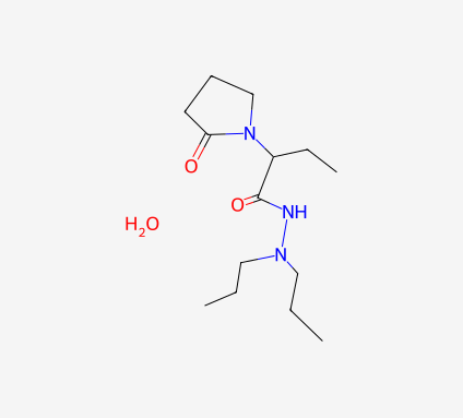 CCCN(CCC)NC(=O)C(CC)N1CCCC1=O.O